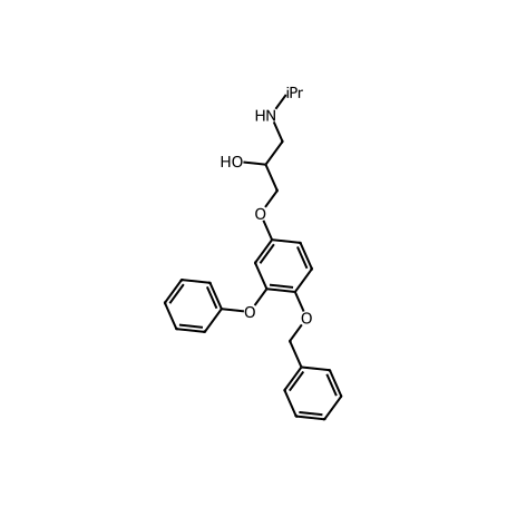 CC(C)NCC(O)COc1ccc(OCc2ccccc2)c(Oc2ccccc2)c1